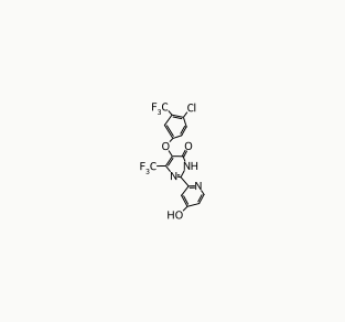 O=c1[nH]c(-c2cc(O)ccn2)nc(C(F)(F)F)c1Oc1ccc(Cl)c(C(F)(F)F)c1